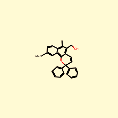 COc1ccc2c(C)c(CO)c3c(c2c1)OC(c1ccccc1)(c1ccccc1)C=C3